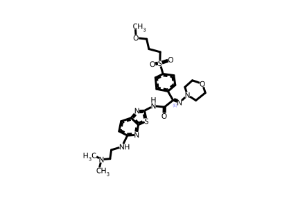 COCCCS(=O)(=O)c1ccc(/C(=N\N2CCOCC2)C(=O)Nc2nc3ccc(NCCN(C)C)nc3s2)cc1